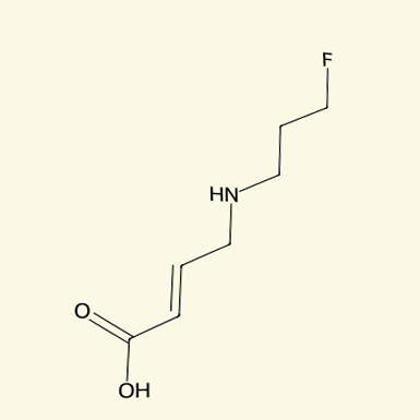 O=C(O)C=CCNCCCF